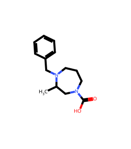 CC1CN(C(=O)O)CCCN1Cc1ccccc1